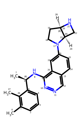 Cc1cccc([C@@H](C)Nc2nncc3ccc(N4CC[C@H]5NC[C@H]54)cc23)c1C